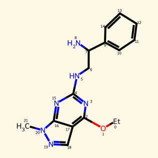 CCOc1nc(NCC(N)c2ccccc2)nc2c1cnn2C